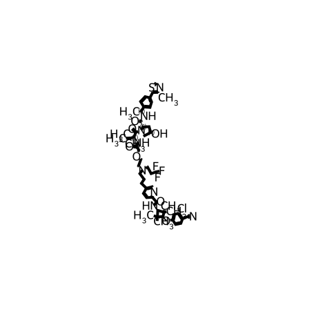 Cc1ncsc1-c1ccc([C@H](C)NC(=O)[C@@H]2C[C@@H](O)CN2C(=O)[C@@H](NC(=O)COCCN(CCCc2ccc(C(=O)N[C@H]3C(C)(C)[C@H](Oc4ccc(C#N)c(Cl)c4)C3(C)C)nc2)CCC(F)(F)F)C(C)(C)C)cc1